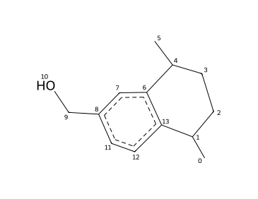 CC1CCC(C)c2cc(CO)ccc21